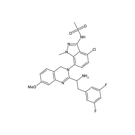 COc1ccc2c(c1)N=C(C(N)Cc1cc(F)cc(F)c1)N(c1ccc(Cl)c3c(NS(C)(=O)=O)nn(C)c13)C2